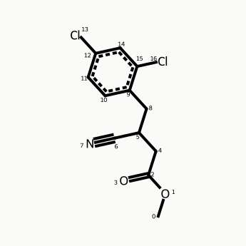 COC(=O)CC(C#N)Cc1ccc(Cl)cc1Cl